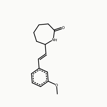 COc1cccc(C=CC2CCCCC(=O)N2)c1